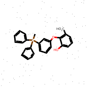 CS(c1ccccc1)(c1ccccc1)c1cccc(Oc2c(O)cccc2C(=O)O)c1